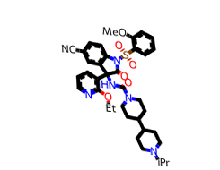 CCOc1ncccc1C1(NC(=O)N2CCC(C3CCN(C(C)C)CC3)CC2)C(=O)N(S(=O)(=O)c2ccccc2OC)c2ccc(C#N)cc21